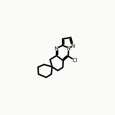 Clc1c2c(nc3ccnn13)CC1(CCCCC1)CC2